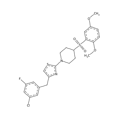 COc1ccc(OC)c(S(=O)(=O)C2CCN(c3nc(Cc4cc(F)cc(Cl)c4)cs3)CC2)c1